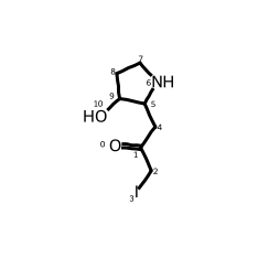 O=C(CI)CC1NCCC1O